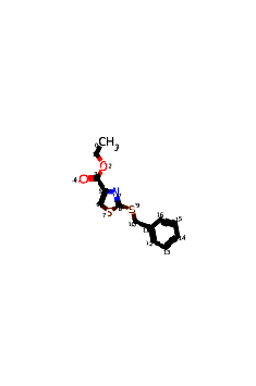 CCOC(=O)c1csc(SCc2ccccc2)n1